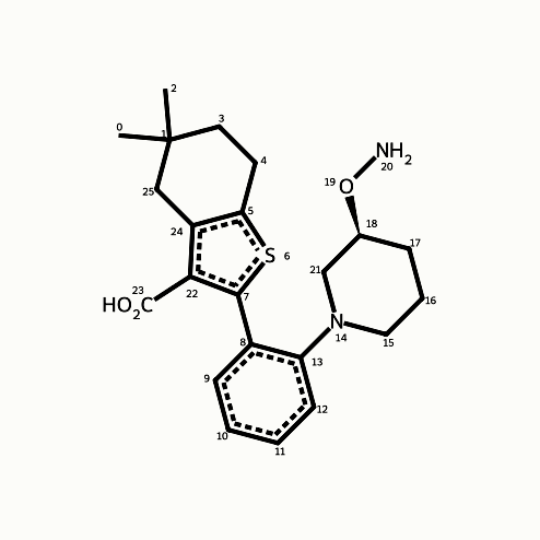 CC1(C)CCc2sc(-c3ccccc3N3CCC[C@H](ON)C3)c(C(=O)O)c2C1